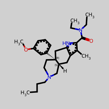 CCCCN1CC[C@@]2(c3cccc(OC)c3)Cc3[nH]c(C(=O)N(CC)CC)c(C)c3C[C@@H]2C1